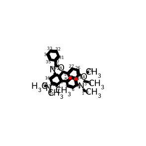 CCN(CC)c1ccc(-c2c(C)c(N(C)C)cc3c2C(c2ccc(OC)cc2)OC(c2ccccc2)=N3)cc1